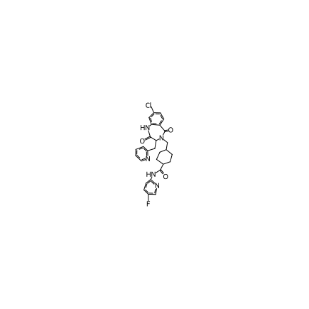 O=C(Nc1ccc(F)cn1)C1CCC(CN2C(=O)c3ccc(Cl)cc3NC(=O)C2Cc2ccccn2)CC1